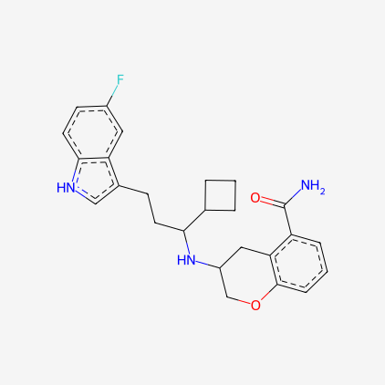 NC(=O)c1cccc2c1CC(NC(CCc1c[nH]c3ccc(F)cc13)C1CCC1)CO2